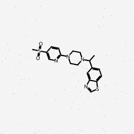 CC(c1ccc2scnc2c1)N1CCN(c2ccc(S(C)(=O)=O)cn2)CC1